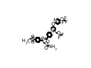 CCS(=O)(=O)c1ccc([C@H](COC(N)=O)NC(=O)c2ccc(N3C[C@@H](Oc4ccc(OC(F)(F)F)cn4)C[C@H]3COC(F)F)cc2)cc1